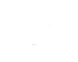 C=CC(=O)NCc1cc(OCCCCCCCCCC)cc(OCC(=O)O)c1